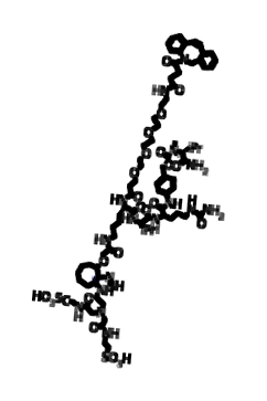 CC(C)C(NC(=O)[C@@H](CCCCNC(=O)COC1CCCCC/C(NCCN(CC(=O)NCCS(=O)(=O)O)CC(=O)NCCS(=O)(=O)O)=C\1N=N)NC(=O)CCOCCOCCOCCOCCNC(=O)CCC(=O)N1Cc2ccccc2C#Cc2ccccc21)C(=O)NC(CCCNC(N)=O)C(=O)Nc1ccc(COC(=O)N(C)[C@H](C(N)=O)C(C)C)cc1